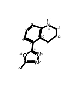 Cc1nnc(-c2cccc3c2CCCN3)o1